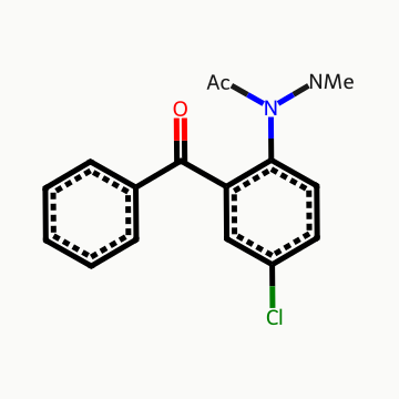 CNN(C(C)=O)c1ccc(Cl)cc1C(=O)c1ccccc1